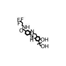 CC(C)(CO)c1cc(F)c(Cc2nc3cc(C(=O)NCCC(F)(F)F)ccc3[nH]2)cc1O